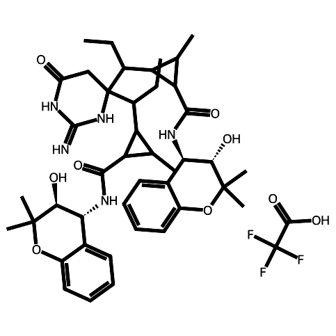 CCC(C1C(C)C1C(=O)N[C@@H]1c2ccccc2OC(C)(C)[C@H]1O)C1(C(CC)C2C(C)C2C(=O)N[C@@H]2c3ccccc3OC(C)(C)[C@H]2O)CC(=O)NC(=N)N1.O=C(O)C(F)(F)F